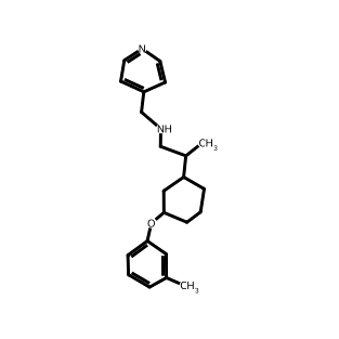 Cc1cccc(OC2CCCC(C(C)CNCc3ccncc3)C2)c1